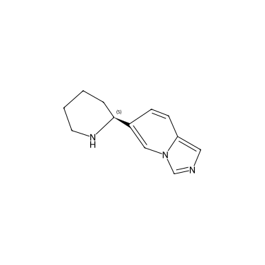 c1cc2cncn2cc1[C@@H]1CCCCN1